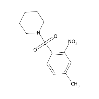 Cc1ccc(S(=O)(=O)N2CCCCC2)c([N+](=O)[O-])c1